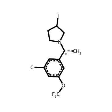 C[C@H](c1cc(Cl)cc(OC(F)(F)F)c1)N1CCC(I)C1